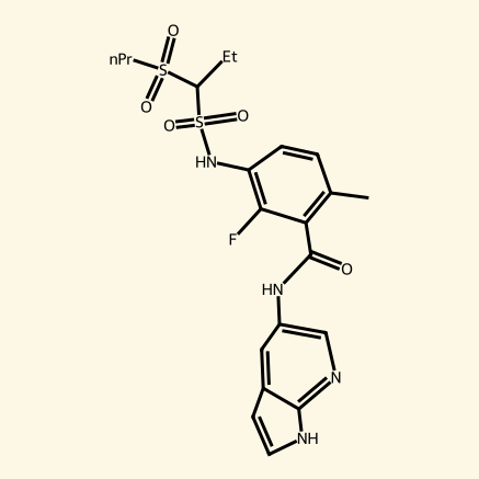 CCCS(=O)(=O)C(CC)S(=O)(=O)Nc1ccc(C)c(C(=O)Nc2cnc3[nH]ccc3c2)c1F